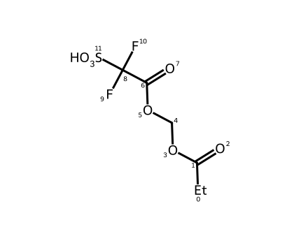 CCC(=O)OCOC(=O)C(F)(F)S(=O)(=O)O